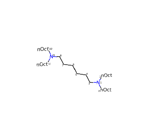 CCCCCCCCN(CCCCCCCC)CCCCCCN(CCCCCCCC)CCCCCCCC